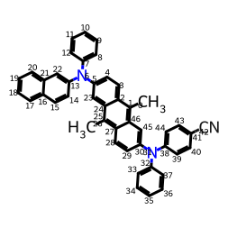 Cc1c2ccc(N(c3ccccc3)c3ccc4ccccc4c3)cc2c(C)c2ccc(N(c3ccccc3)c3ccc(C#N)cc3)cc12